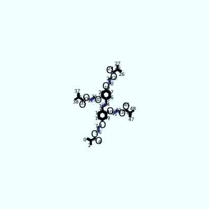 C=C(C)C(=O)O/C=C/Oc1ccc(/C=C/c2ccc(O/C=C/OC(=O)C(=C)C)cc2O/C=C/OC(=O)C(=C)C)c(O/C=C/OC(=O)C(=C)C)c1